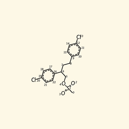 CS(=O)(=O)OCC(CCc1ccc(Cl)cc1)c1ccc(Cl)cc1